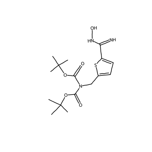 CC(C)(C)OC(=O)N(Cc1ccc(C(=N)NO)s1)C(=O)OC(C)(C)C